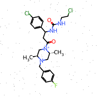 C[C@@H]1CN(Cc2ccc(F)cc2)[C@@H](C)C[N+]1C(=O)CC(NC(=O)NCCCl)c1ccc(Cl)cc1